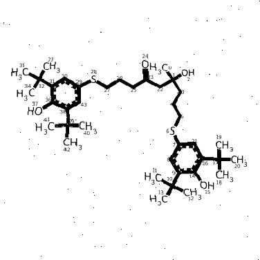 CC(O)(CCCSc1cc(C(C)(C)C)c(O)c(C(C)(C)C)c1)CC(=O)CCCSc1cc(C(C)(C)C)c(O)c(C(C)(C)C)c1